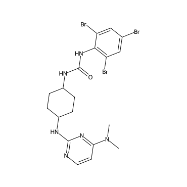 CN(C)c1ccnc(NC2CCC(NC(=O)Nc3c(Br)cc(Br)cc3Br)CC2)n1